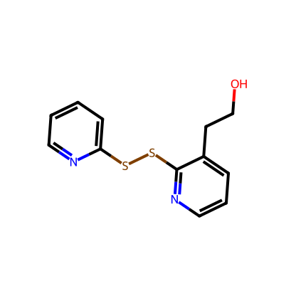 OCCc1cccnc1SSc1ccccn1